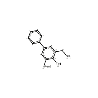 CCCCCc1cc(-c2ccccc2)cc(CN)c1O